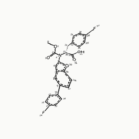 COC(=O)N(c1cc2cc(-c3ccc(F)cc3)ccc2o1)[C@H](Cc1ccc(F)cc1)C(=O)O